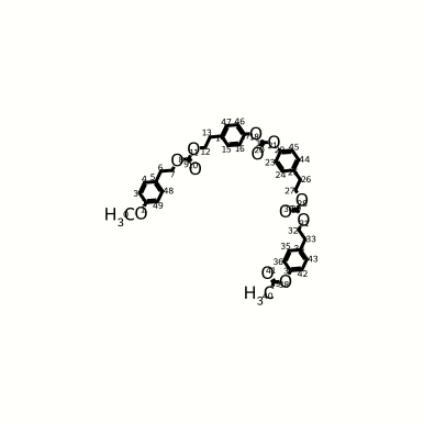 COc1ccc(CCOC(=O)OCCc2ccc(OC(=O)Oc3ccc(CCOC(=O)OCCc4ccc(OC(C)=O)cc4)cc3)cc2)cc1